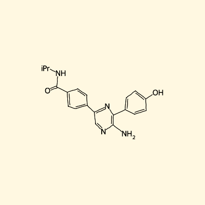 CC(C)NC(=O)c1ccc(-c2cnc(N)c(-c3ccc(O)cc3)n2)cc1